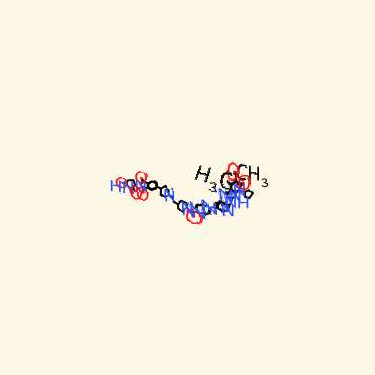 CC(=O)c1c(C)c2cnc(Nc3ccc(N4CCN(C(=O)N5CCC(CCN6CCC(c7ccc8c(c7)C(=O)N(C7CCC(=O)NC7=O)C8=O)CC6)CC5)CC4)cn3)nc2n(C2CCCC2)c1=O